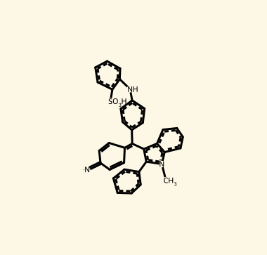 Cn1c(-c2ccccc2)c(C(=C2C=CC(=[N])C=C2)c2ccc(Nc3ccccc3S(=O)(=O)O)cc2)c2ccccc21